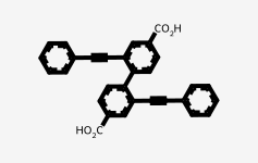 O=C(O)c1ccc(-c2ccc(C(=O)O)cc2C#Cc2ccccc2)c(C#Cc2ccccc2)c1